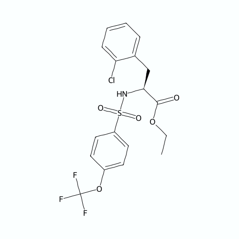 CCOC(=O)[C@H](Cc1ccccc1Cl)NS(=O)(=O)c1ccc(OC(F)(F)F)cc1